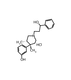 C[C@@H]1CN(CCC(O)c2ccccc2)CC[C@]1(C)c1cccc(O)c1.Cl